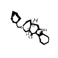 O=C1c2c([nH]c3c2CCCC3)C[C@@H]2CCN(Cc3ccccc3)C[C@@H]12